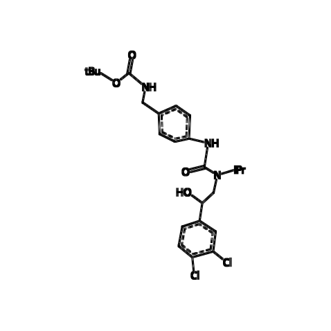 CC(C)N(CC(O)c1ccc(Cl)c(Cl)c1)C(=O)Nc1ccc(CNC(=O)OC(C)(C)C)cc1